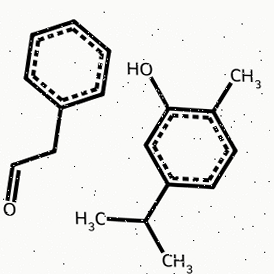 Cc1ccc(C(C)C)cc1O.O=CCc1ccccc1